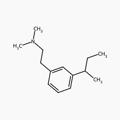 CCC(C)c1cccc(CCN(C)C)c1